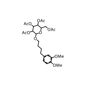 COc1ccc(CCCCOC2OC(COC(C)=O)C(OC(C)=O)C(OC(C)=O)C2OC(C)=O)cc1OC